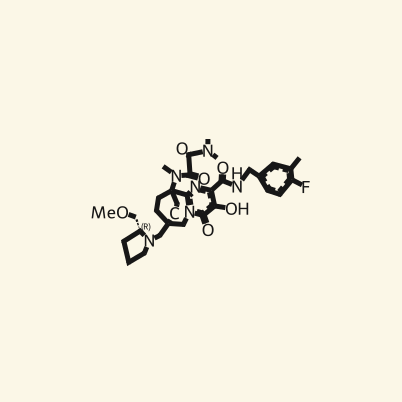 COC[C@H]1CCCN1CC12CCC(N(C)C(=O)C(=O)N(C)C)(CC1)c1nc(C(=O)NCc3ccc(F)c(C)c3)c(O)c(=O)n1C2